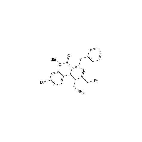 CCc1ccc(-c2c(CN)c(CC(C)C)nc(Cc3ccccc3)c2C(=O)OC(C)(C)C)cc1